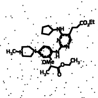 CCOC(=O)CC.CCOC(=O)CCc1cnc(Nc2ccc(N3CCN(C)CC3)cc2OC)nc1NC1CCCC1